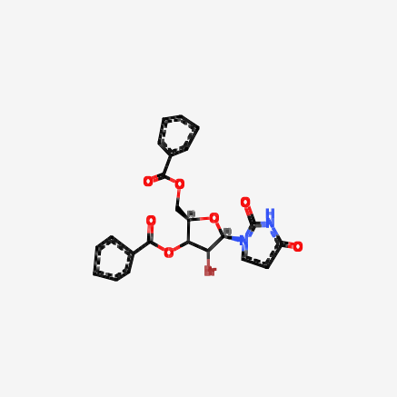 O=C(OC[C@H]1O[C@@H](n2ccc(=O)[nH]c2=O)C(Br)C1OC(=O)c1ccccc1)c1ccccc1